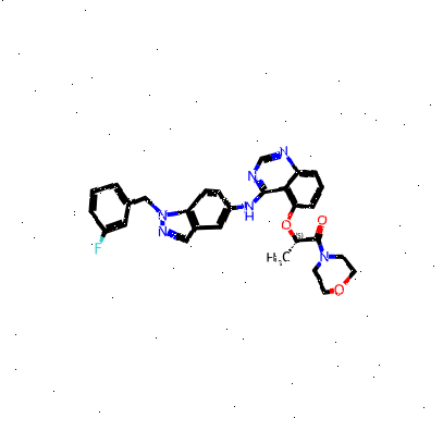 C[C@H](Oc1cccc2ncnc(Nc3ccc4c(cnn4Cc4cccc(F)c4)c3)c12)C(=O)N1CCOCC1